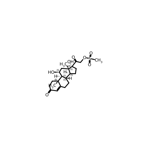 C[C@]12CCC(=O)C=C1CC[C@@H]1[C@@H]2[C@@H](O)C[C@@]2(C)[C@H]1CC[C@]2(O)C(=O)COS(C)(=O)=O